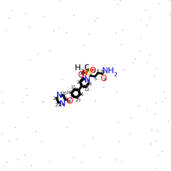 CS(=O)(=O)C(CCC(N)=O)n1ccc(-c2ccc(Oc3cnccn3)cc2)cc1=O